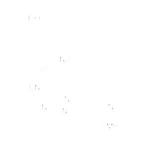 COc1cc(-c2cc(C(=O)NC3CCC(O)CC3)c3c(N)ncnn23)ccn1